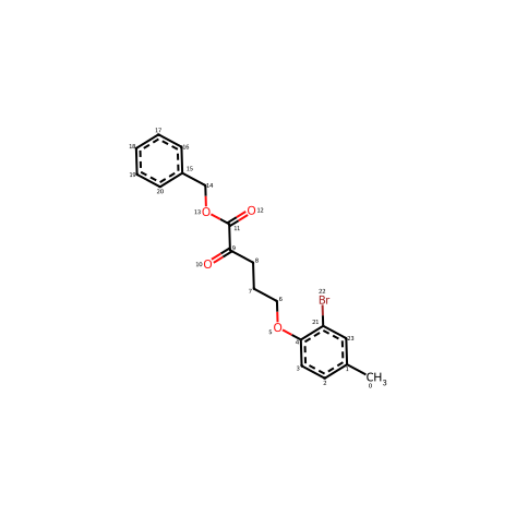 Cc1ccc(OCCCC(=O)C(=O)OCc2ccccc2)c(Br)c1